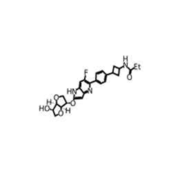 CCC(=O)NC1CC(c2ccc(-c3nc4cc(O[C@@H]5CO[C@H]6[C@@H]5OC[C@H]6O)[nH]c4cc3F)cc2)C1